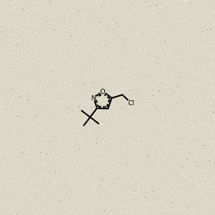 CC(C)(C)c1cc(CCl)on1